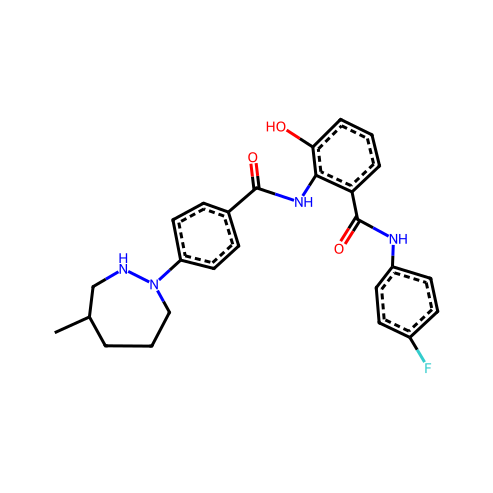 CC1CCCN(c2ccc(C(=O)Nc3c(O)cccc3C(=O)Nc3ccc(F)cc3)cc2)NC1